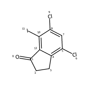 O=C1CCc2c(Cl)cc(Cl)c(I)c21